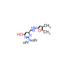 CCCN(CCC)c1nc(O)cc(/C=N/Nc2cc(C)c(C)o2)n1